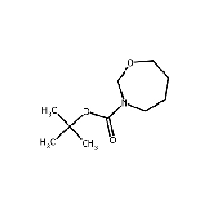 CC(C)(C)OC(=O)N1CCCCOC1